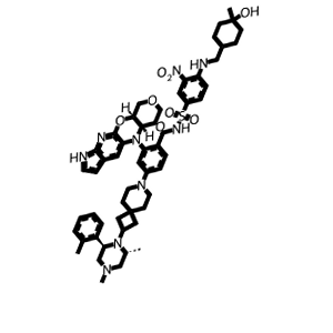 Cc1ccccc1[C@@H]1CN(C)C[C@@H](C)N1C1CC2(CCN(c3ccc(C(=O)NS(=O)(=O)c4ccc(NCC5CCC(C)(O)CC5)c([N+](=O)[O-])c4)c(N4c5cc6cc[nH]c6nc5O[C@H]5COCC[C@@H]54)c3)CC2)C1